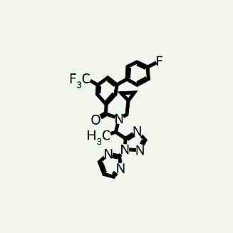 CC(c1ncnn1-c1ncccn1)N(CC1CC1)C(=O)c1cc(-c2ccc(F)cc2)cc(C(F)(F)F)c1